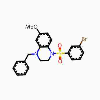 COc1ccc2c(c1)N(Cc1ccccc1)CCN2S(=O)(=O)c1cccc(Br)c1